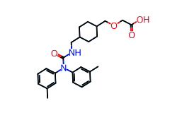 Cc1cccc(N(C(=O)NCC2CCC(COCC(=O)O)CC2)c2cccc(C)c2)c1